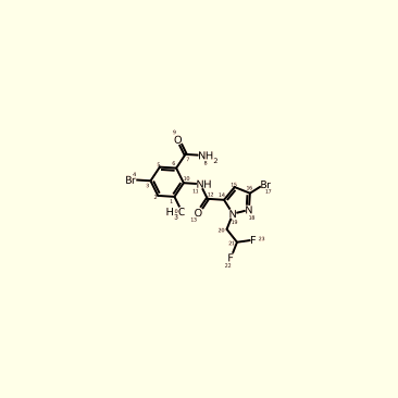 Cc1cc(Br)cc(C(N)=O)c1NC(=O)c1cc(Br)nn1CC(F)F